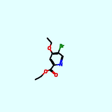 CCOC(=O)c1cc(OCC)c(Br)cn1